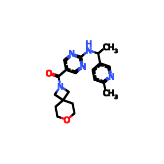 Cc1ccc(C(C)Nc2ncc(C(=O)N3CC4(CCOCC4)C3)cn2)cn1